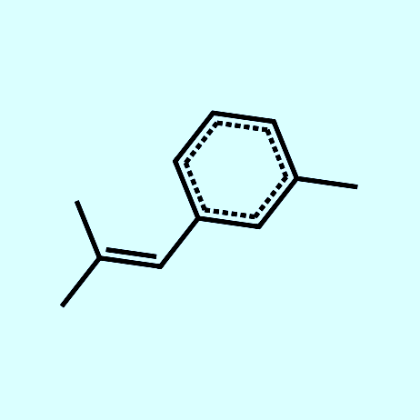 CC(C)=Cc1cccc(C)c1